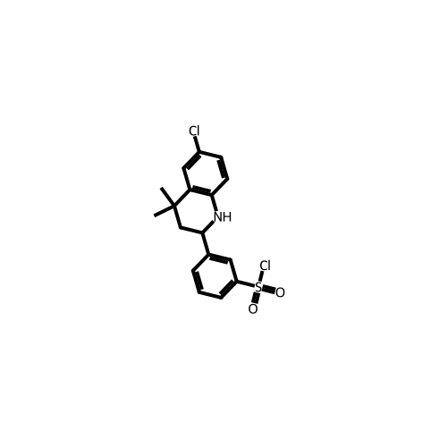 CC1(C)CC(c2cccc(S(=O)(=O)Cl)c2)Nc2ccc(Cl)cc21